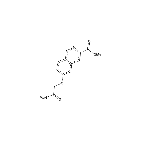 CNC(=O)COc1ccc2cnc(C(=O)OC)cc2c1